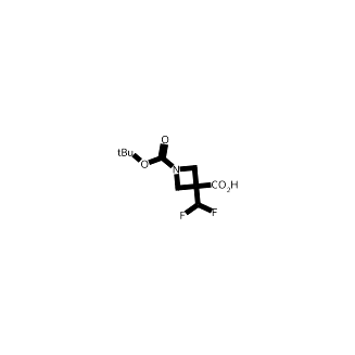 CC(C)(C)OC(=O)N1CC(C(=O)O)(C(F)F)C1